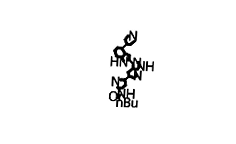 CCCCC(=O)Nc1cncc(-c2cnc3[nH]nc(-c4cc5c(-c6ccncc6)cccc5[nH]4)c3c2)c1